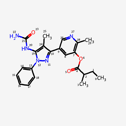 CCC(C)C(=O)Oc1cc(-c2nn(-c3ccccc3)c(NC(N)=O)c2C)cnc1C